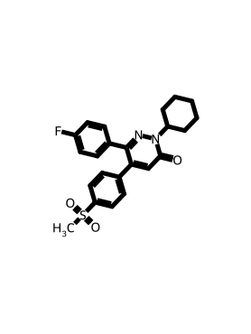 CS(=O)(=O)c1ccc(-c2cc(=O)n(C3CCCCC3)nc2-c2ccc(F)cc2)cc1